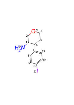 N[C@@H]1COCC[C@@H]1c1ccc(I)cc1